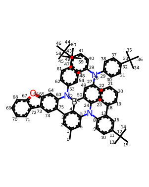 Cc1cc2c3c(c1)N(c1ccc(C(C)(C)C)cc1-c1ccccc1)c1ccc(N(c4ccc(C(C)(C)C)cc4)c4ccc(C(C)(C)C)cc4)cc1B3N(c1ccc(C(C)(C)C)cc1)c1cc3oc4ccccc4c3cc1-2